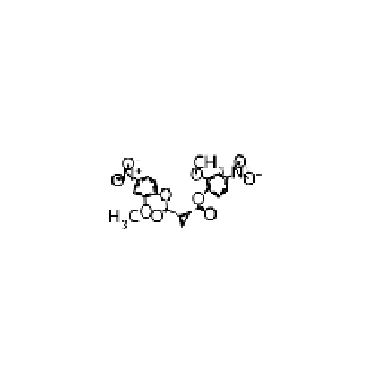 COc1cc([N+](=O)[O-])ccc1OC(=O)[C@@H]1C[C@H]1C(=O)Oc1ccc([N+](=O)[O-])cc1OC